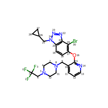 FC(F)(F)CN1CCN(Cc2cccnc2Oc2ccc3c(nnn3CC3CC3)c2Br)CC1